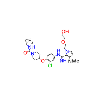 CNc1ccn(CCOCCO)c1C(=N)Nc1ccc(OC2CCN(C(=O)NCC(F)(F)F)CC2)c(Cl)c1